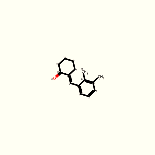 Cc1cccc(C=C2CCCCC2=O)c1C